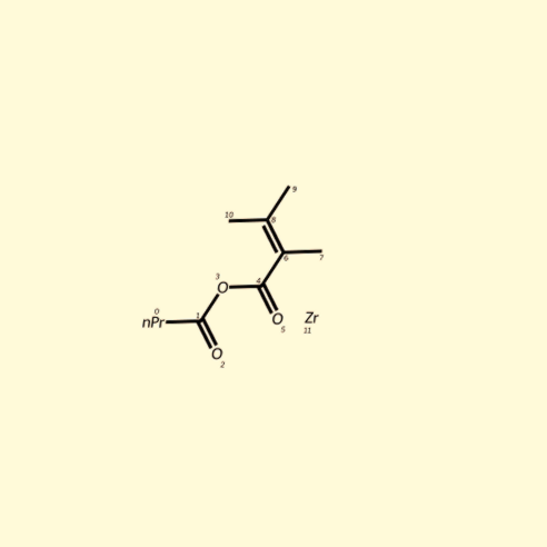 CCCC(=O)OC(=O)C(C)=C(C)C.[Zr]